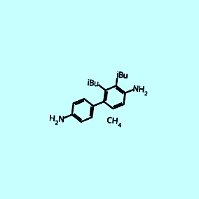 C.CCC(C)c1c(N)ccc(-c2ccc(N)cc2)c1C(C)CC